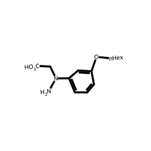 CCCCCCOc1cccc(N(N)CC(=O)O)c1